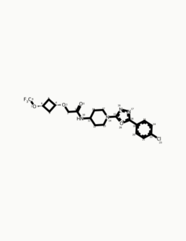 O=C(CO[C@H]1C[C@@H](OC(F)(F)F)C1)NC1CCN(c2nnc(-c3ccc(Cl)cc3)o2)CC1